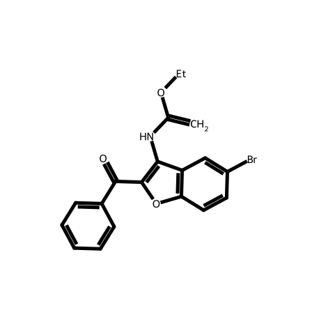 C=C(Nc1c(C(=O)c2ccccc2)oc2ccc(Br)cc12)OCC